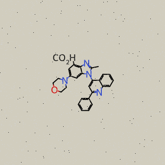 Cc1nc2c(C(=O)O)cc(N3CCOCC3)cc2n1-c1cc(-c2ccccc2)nc2ccccc12